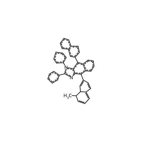 CC1C=CC=C2C=CC(c3c4ccccc4c(-c4ccc5ccccc5c4)c4c3nc(-c3ccccc3)n4-c3ccccc3)=CC21